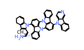 Cc1c2c(n(-c3ccc4c5c3c3ccccc3n5c3ccc(-n5c6ccccc6c6cnccc65)c5c6ccccc6n4c53)c1/C=C\N)C=CCC2